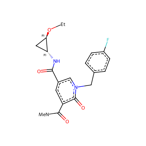 CCO[C@@H]1C[C@H]1NC(=O)c1cc(C(=O)NC)c(=O)n(Cc2ccc(F)cc2)c1